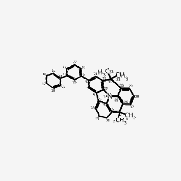 CC1(C)C2=c3c(c4cc(-c5cccc(C6=CCCC=C6)c5)cc5c4n3-c3c1cccc3C5(C)C)=CCC2